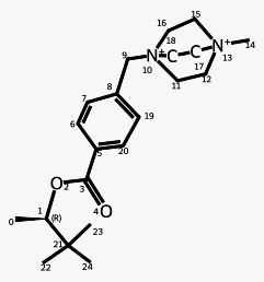 C[C@@H](OC(=O)c1ccc(C[N+]23CC[N+](C)(CC2)CC3)cc1)C(C)(C)C